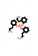 C=CCc1ccccc1OP(=S)(Oc1ccccc1CC=C)Oc1ccccc1CC=C